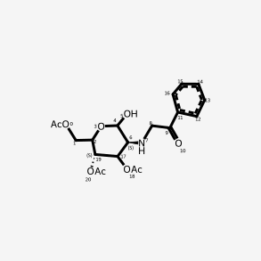 CC(=O)OCC1OC(O)[C@@H](NCC(=O)c2ccccc2)C(OC(C)=O)[C@@H]1OC(C)=O